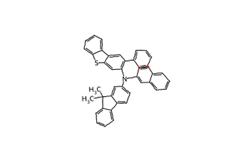 CC1(C)c2ccccc2-c2ccc(N(c3ccc4ccccc4c3)c3cc4sc5ccccc5c4cc3-c3ccccc3)cc21